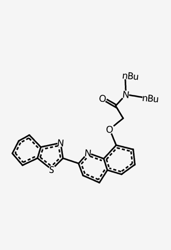 CCCCN(CCCC)C(=O)COc1cccc2ccc(-c3nc4ccccc4s3)nc12